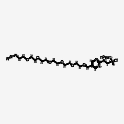 CCCCC[Si](C)(Cl)CSc1ncc(COCCOCCOCCOCCOCCOCCN=[N+]=[N-])cn1